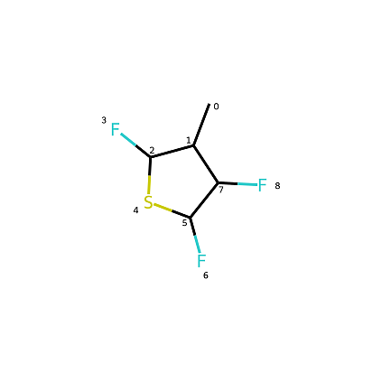 CC1C(F)SC(F)C1F